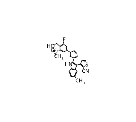 Cc1ccc2[nH]c(-c3cccc(-c4cc(F)c(CO)c([S+](C)[O-])c4)c3)c(-c3ccsc3C#N)c2c1